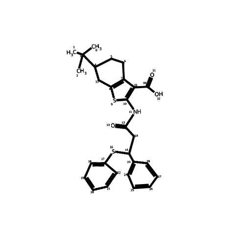 CC(C)(C)C1CCc2c(sc(NC(=O)CC(Sc3ccccc3)c3ccccc3)c2C(=O)O)C1